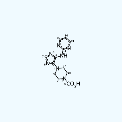 O=C(O)N1CCN(c2nsnc2Nc2ncccn2)CC1